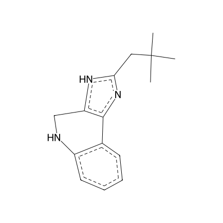 CC(C)(C)Cc1nc2c([nH]1)CNc1ccccc1-2